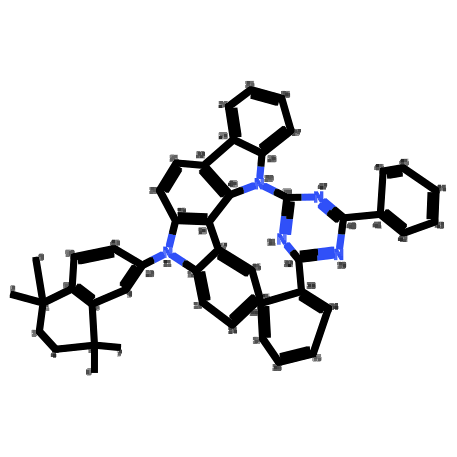 CC1(C)CCC(C)(C)c2cc(-n3c4ccccc4c4c3ccc3c5ccccc5n(-c5nc(-c6ccccc6)nc(-c6ccccc6)n5)c34)ccc21